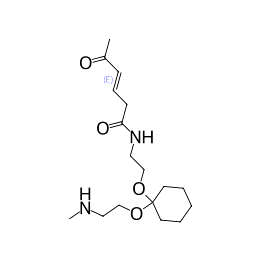 CNCCOC1(OCCNC(=O)C/C=C/C(C)=O)CCCCC1